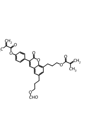 C=C(C)C(=O)OCCCc1cc(CCCOC=O)cc2cc(-c3ccc(OC(=O)C(=C)C)cc3)c(=O)oc12